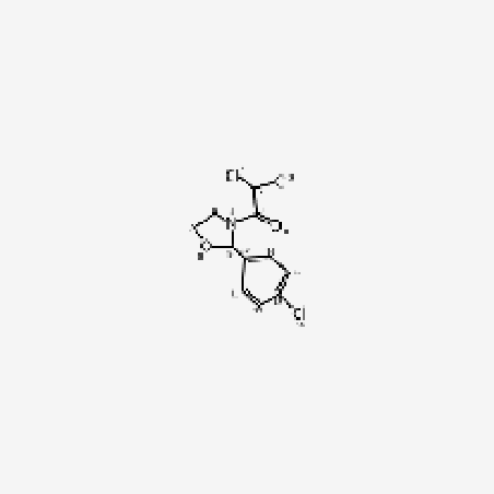 O=C(C(Cl)Cl)N1CCOC1c1ccc(Cl)cc1